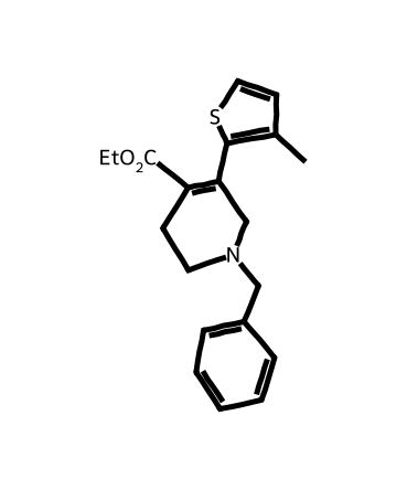 CCOC(=O)C1=C(c2sccc2C)CN(Cc2ccccc2)CC1